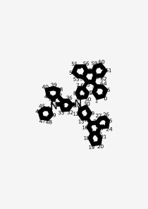 c1ccc(-c2c(-c3ccc(N(c4ccc(-c5cc6ccccc6c6ccccc56)cc4)c4ccc5c(c4)c4ccccc4n5-c4ccccc4)cc3)c3ccccc3c3ccccc23)cc1